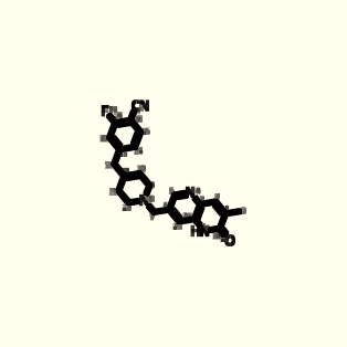 Cc1cc2ncc(CN3CC=C(Cc4ccc(C#N)c(F)c4)CC3)cc2[nH]c1=O